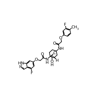 Cc1ccc(OCC(=O)NC23CCC(NC(=O)COc4cc(F)c5cn[nH]c5c4)(CC2)[C@@H](O)C3)cc1F